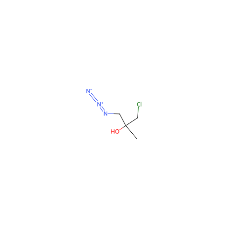 CC(O)(CCl)CN=[N+]=[N-]